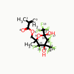 C=C(C)C(=O)OCC1(C)OC(O)(C(F)(F)F)C(F)(F)C(O)(C(F)(F)F)C1(F)F